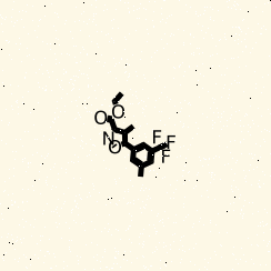 CCOC(=O)C1=NOC(c2cc(C)cc(C(F)(F)F)c2)C1C